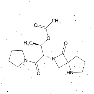 CC(=O)O[C@H](C)[C@@H](C(=O)N1CCCC1)N1CC2(CCCN2)C1=O